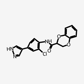 O=C(Nc1ccc(-c2cn[nH]c2)cc1Cl)C1COc2ccccc2O1